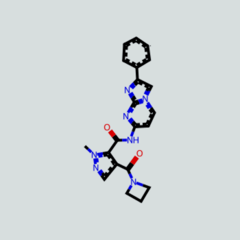 Cn1ncc(C(=O)N2CCC2)c1C(=O)Nc1ccn2cc(-c3c[c]ccc3)nc2n1